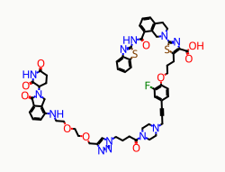 O=C1CCC(N2Cc3c(NCCOCCOCc4cn(CCCC(=O)N5CCN(CC#Cc6ccc(OCCCc7sc(N8CCc9cccc(C(=O)Nc%10nc%11ccccc%11s%10)c9C8)nc7C(=O)O)c(F)c6)CC5)nn4)cccc3C2=O)C(=O)N1